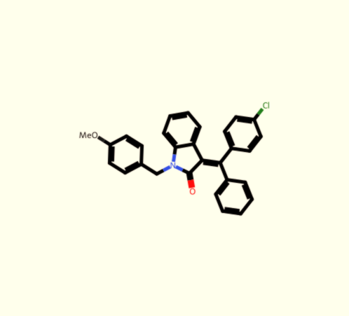 COc1ccc(CN2C(=O)/C(=C(\c3ccccc3)c3ccc(Cl)cc3)c3ccccc32)cc1